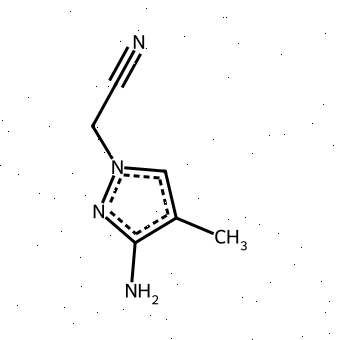 Cc1cn(CC#N)nc1N